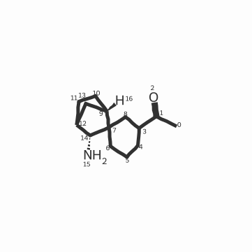 CC(=O)C1CCCC2(C1)[C@H]1CCC(C1)[C@H]2N